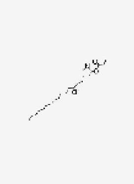 C=CC(=O)OC(CCCCCCCCCCCCCCCCC)[N+](C)(C)C.[Cl-]